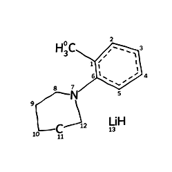 Cc1ccccc1N1CCCCC1.[LiH]